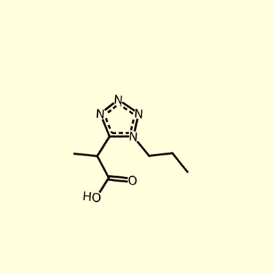 CCCn1nnnc1C(C)C(=O)O